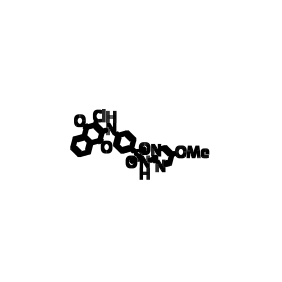 COc1cnc(NS(=O)(=O)c2ccc(NC3=C(Cl)C(=O)c4ccccc4C3=O)cc2)nc1